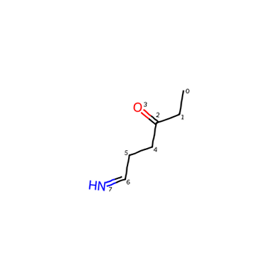 CCC(=O)CCC=N